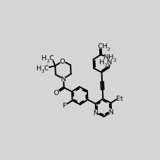 C=C(N)/C=C\C(C#Cc1c(CC)ncnc1-c1ccc(C(=O)N2CCOC(C)(C)C2)c(F)c1)=C/N